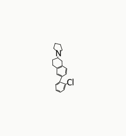 Clc1ccccc1-c1ccc2c(c1)CCC(N1CCCC1)C2